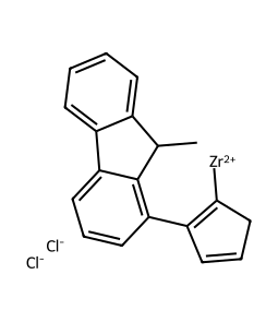 CC1c2ccccc2-c2cccc(C3=[C]([Zr+2])CC=C3)c21.[Cl-].[Cl-]